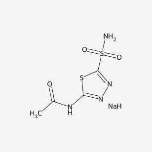 CC(=O)Nc1nnc(S(N)(=O)=O)s1.[NaH]